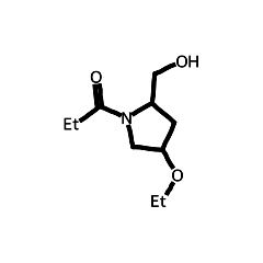 CCOC1CC(CO)N(C(=O)CC)C1